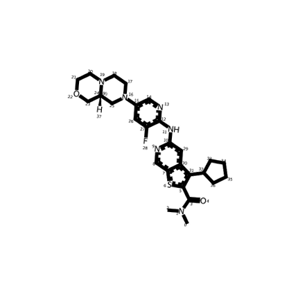 CN(C)C(=O)c1sc2cnc(Nc3ncc(N4CCN5CCOC[C@H]5C4)cc3F)cc2c1C1CCCC1